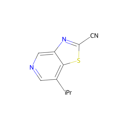 CC(C)c1cncc2nc(C#N)sc12